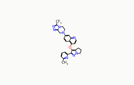 Cc1cccc(-c2nn3c(c2Oc2ccnc4cc(N5CCn6c(nnc6C(F)(F)F)C5)ccc24)CCC3)n1